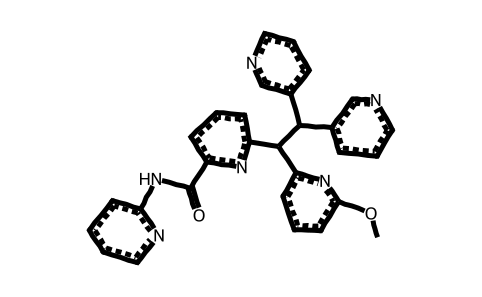 COc1cccc(C(c2cccc(C(=O)Nc3ccccn3)n2)C(c2cccnc2)c2cccnc2)n1